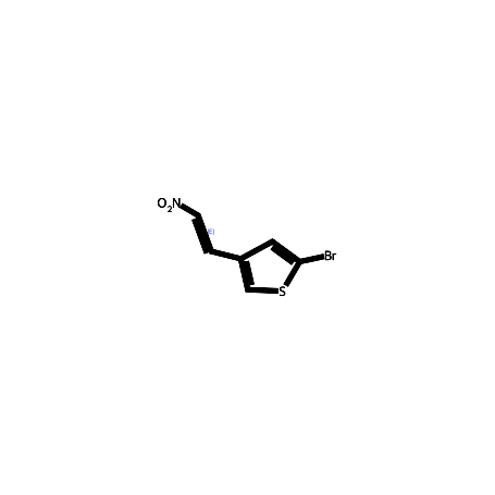 O=[N+]([O-])/C=C/c1csc(Br)c1